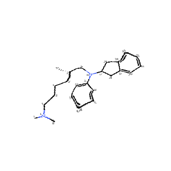 C[C@@H](CCCCN(C)C)CN(c1ccccc1)C1Cc2ccccc2C1